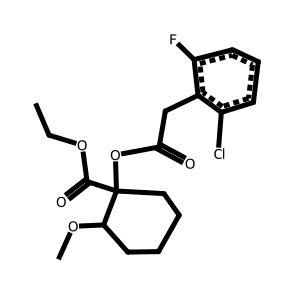 CCOC(=O)C1(OC(=O)Cc2c(F)cccc2Cl)CCCCC1OC